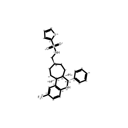 O=S(=O)(NC[C@H]1CC[C@@H]2[C@H](CC1)c1cc(C(F)(F)F)ccc1N[C@H]2c1ccccc1)c1cccs1